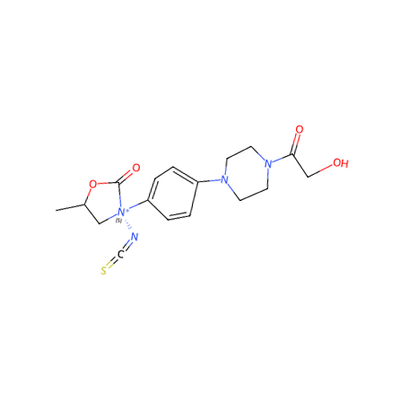 CC1C[N@+](N=C=S)(c2ccc(N3CCN(C(=O)CO)CC3)cc2)C(=O)O1